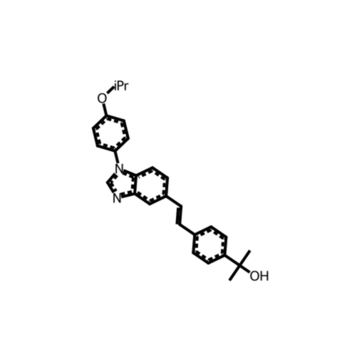 CC(C)Oc1ccc(-n2cnc3cc(C=Cc4ccc(C(C)(C)O)cc4)ccc32)cc1